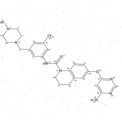 CC(C)N1CCN(Cc2cc(NC(=O)N3CCCc4cc(Oc5cc(N)ncn5)ccc43)cc(C(F)(F)F)c2)CC1